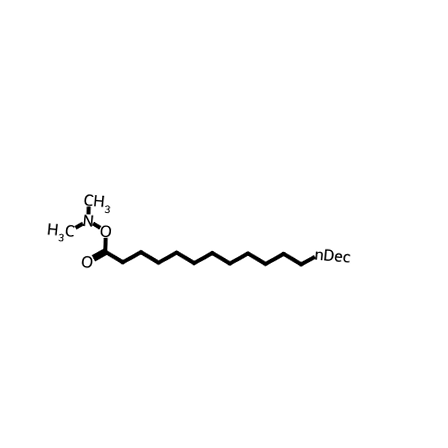 CCCCCCCCCCCCCCCCCCCCCC(=O)ON(C)C